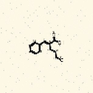 O=C(O)/C(=C/c1ccccc1)CCCCl